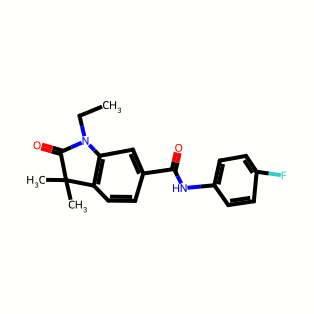 CCN1C(=O)C(C)(C)c2ccc(C(=O)Nc3ccc(F)cc3)cc21